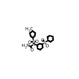 Cc1ccc(S(=O)(=O)N(C(N)=O)c2cccc(S(=O)(=O)c3ccccc3)c2)cc1